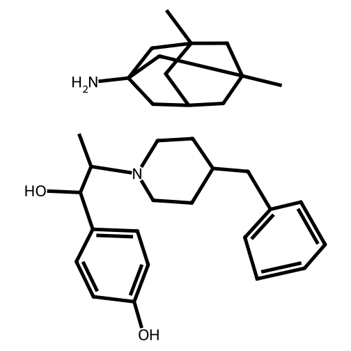 CC(C(O)c1ccc(O)cc1)N1CCC(Cc2ccccc2)CC1.CC12CC3CC(C)(C1)CC(N)(C3)C2